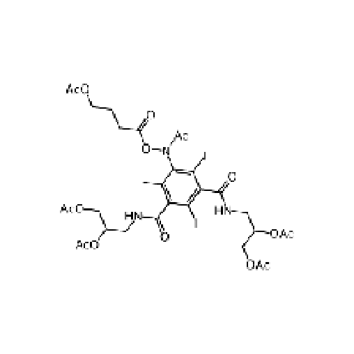 CC(=O)OCCCC(=O)ON(C(C)=O)c1c(I)c(C(=O)NCC(COC(C)=O)OC(C)=O)c(I)c(C(=O)NCC(COC(C)=O)OC(C)=O)c1I